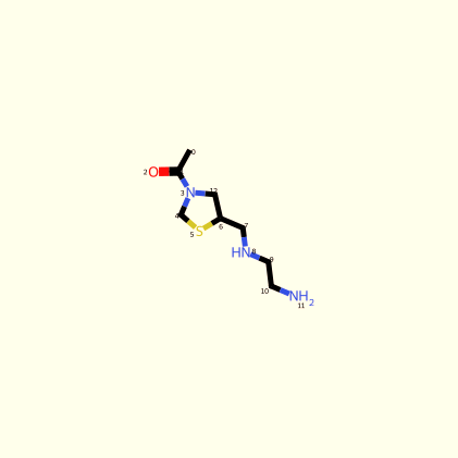 CC(=O)N1CSC(CNCCN)C1